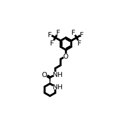 O=C(NCCCOc1cc(C(F)(F)F)cc(C(F)(F)F)c1)[C@@H]1CCCCN1